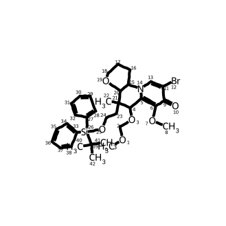 COCOC1c2c(OC)c(=O)c(Br)cn2C2CCCOC2C1(C)CCO[Si](c1ccccc1)(c1ccccc1)C(C)(C)C